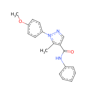 COc1ccc(-n2ncc(C(=O)Nc3ccccc3)c2C)cc1